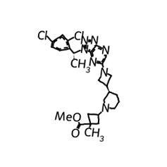 COC(=O)C1(C)CC(N2CCC[C@H](C3CN(c4cnc5nnn([C@H](C)c6ccc(Cl)cc6Cl)c5n4)C3)C2)C1